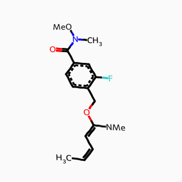 C/C=C\C=C(/NC)OCc1ccc(C(=O)N(C)OC)cc1F